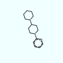 c1ccc(N2CCC(N3CCCCC3)CC2)nc1